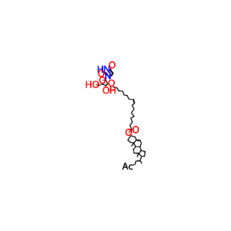 CC(=O)CCC(C)C1CCC2C3CC=C4C[C@@H](OC(=O)CCCCCCC/C=C\CCCCCCCO[C@H]5C(O)[C@@H](CO)O[C@H]5n5ccc(=O)[nH]c5=O)CCC4(C)C3CCC12C